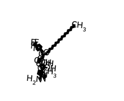 CCCCCCCCCCCCCCCCCCOC[C@H](COP(=O)(O)O[C@H]1O[C@@](C)(c2ccc3c(N)ncnn23)[C@H](O)[C@@H]1O)OCc1ccc(C(F)(F)F)nc1